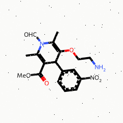 COC(=O)C1=C(C)N(C=O)C(C)=C(OCCN)C1c1cccc([N+](=O)[O-])c1